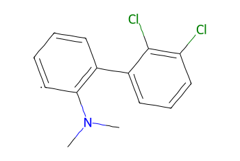 CN(C)c1[c]cccc1-c1cccc(Cl)c1Cl